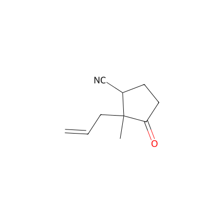 C=CCC1(C)C(=O)CCC1C#N